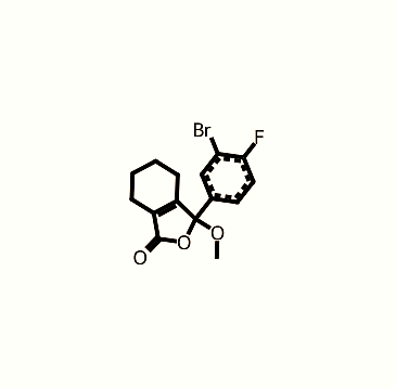 COC1(c2ccc(F)c(Br)c2)OC(=O)C2=C1CCCC2